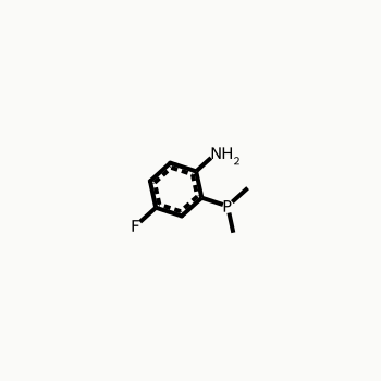 CP(C)c1cc(F)ccc1N